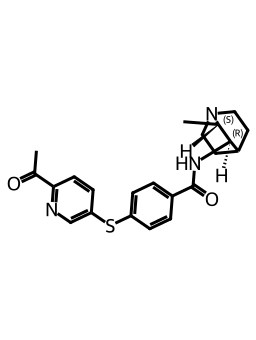 CC(=O)c1ccc(Sc2ccc(C(=O)N[C@@H]3C4CCN(CC4)[C@H]3C)cc2)cn1